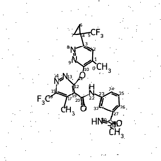 Cc1cc(C2(C(F)(F)F)CC2)nnc1Oc1nnc(C(F)(F)F)c(C)c1C(=O)Nc1cccc(S(C)(=N)=O)c1